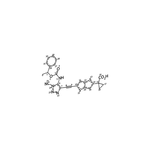 CC(OC(=O)Nc1c(C#Cc2cc3sc(C4(C(=O)O)CC4)cc3s2)nnn1C#N)c1ccccc1